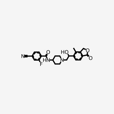 Cc1c(C(O)CN2CCC(NC(=O)c3ccc(C#N)cc3F)CC2)ccc2c1COC2=O